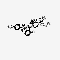 CCOC(=O)C(C)(C(=O)OCC)N1CCN(c2nn(S(=O)(=O)c3ccc(C)cc3)c3cccc(Cl)c23)C2(CC2)C1